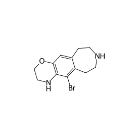 Brc1c2c(cc3c1NCCO3)CCNCC2